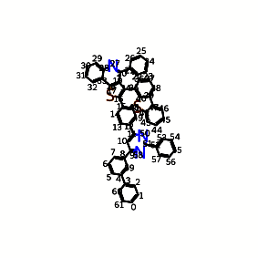 c1ccc(-c2cccc(-c3cc(-c4ccc(-c5sc6c(c(-c7ccccc7)nc7ccccc76)c5-c5cccc6c5sc5ccccc56)cc4)nc(-c4ccccc4)n3)c2)cc1